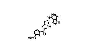 COc1cccc(C(=O)N2CC3CC(N(C)c4ncnc5[nH]ccc45)C[C@H]3C2)n1